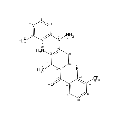 Cc1nccc(N(N)C2=C(N)C(C)N(C(=O)c3cccc(C(F)(F)F)c3F)CC2)n1